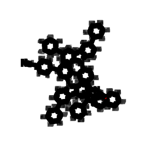 N#Cc1ccc(-c2ccc(-c3cc(-c4nc(-c5ccccc5)nc(-c5ccccc5)n4)ccc3-n3c4ccc(-c5ccccc5)cc4c4cc(-c5ccccc5)ccc43)c(-n3c4ccc(-c5ccccc5)cc4c4cc(-c5ccccc5)ccc43)c2)cc1